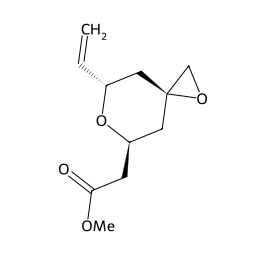 C=C[C@@H]1C[C@]2(CO2)C[C@@H](CC(=O)OC)O1